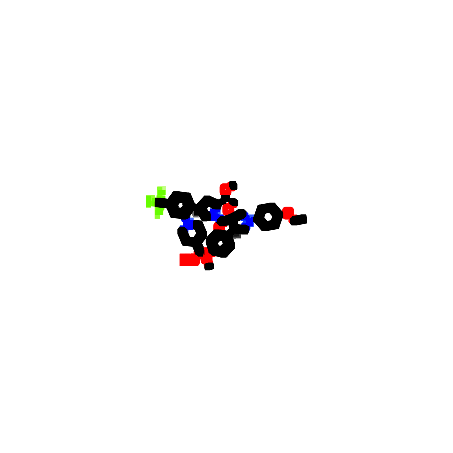 CCO[C@H]1CC[C@H](N2C[C@@H](c3ccc(OC)cc3)[C@](OC)(C(=O)N3C[C@@H](c4ccc(C(F)(F)F)cc4N4CCC(C(=O)O)CC4)C[C@@H]3COC)C2)CC1